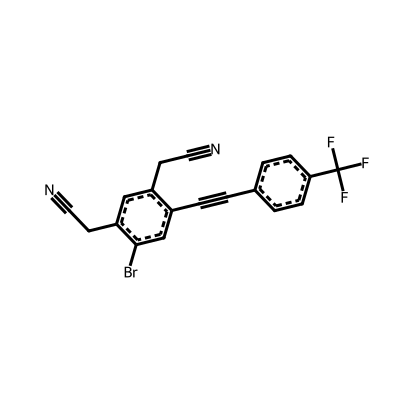 N#CCc1cc(CC#N)c(C#Cc2ccc(C(F)(F)F)cc2)cc1Br